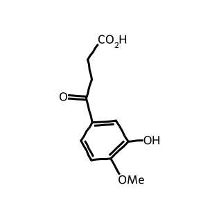 COc1ccc(C(=O)CCC(=O)O)cc1O